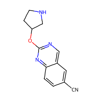 N#Cc1ccc2nc(OC3CCNC3)ncc2c1